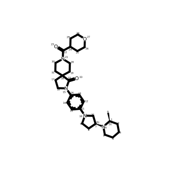 C[C@H]1CCCCN1[C@H]1CCN(c2ccc(N3CCC4(CCN(C(=O)C5CCOCC5)CC4)C3=O)cc2)C1